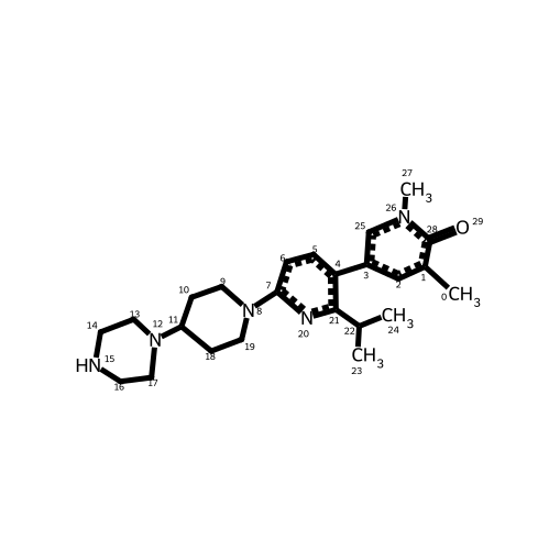 Cc1cc(-c2ccc(N3CCC(N4CCNCC4)CC3)nc2C(C)C)cn(C)c1=O